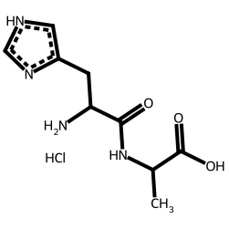 CC(NC(=O)C(N)Cc1c[nH]cn1)C(=O)O.Cl